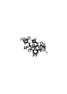 CC[C@H]1CC(F)(F)C[C@@H](C(=O)N[C@H](C#N)C[C@@H]2CCNC2=O)N1C(=O)[C@@H](CC1CCC1)NC(=O)C(F)(F)F